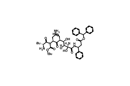 CC[C@@H](C)[C@H](N)C(=O)N(C(=O)OC(C)(C)C)[C@@H](CC(N)=O)C(=O)[C@@H](CO)[C@@H](O)C(O)[C@](N)(O)C(=O)NC(CC(=O)OC(c1ccccc1)c1ccccc1)c1ccccc1